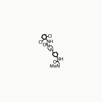 CNCC(=O)Nc1ccc(N2CCN(C(=O)Nc3c(Cl)cccc3Cl)CC2)cc1